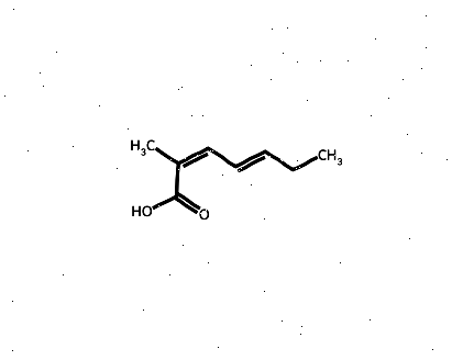 CCC=CC=C(C)C(=O)O